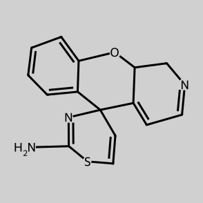 NC1=NC2(C=CS1)C1=CC=NCC1Oc1ccccc12